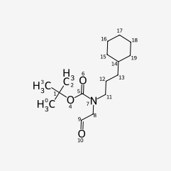 CC(C)(C)OC(=O)N(CC=O)CCCC1CCCCC1